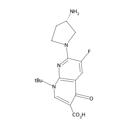 CC(C)(C)n1cc(C(=O)O)c(=O)c2cc(F)c(N3CC[C@H](N)C3)nc21